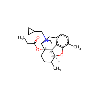 CCC(=O)O[C@@]12CCC(C)[C@@H]3Oc4c(C)ccc5c4[C@@]31CCN(CC1CC1)C2C5